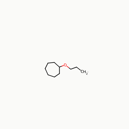 [CH2]CCOC1CCCCCC1